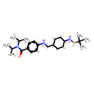 CC(C)N(C(=O)c1ccc(NCC2CCC(NSC(C)(C)C)CC2)cc1)C(C)C